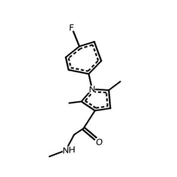 CNCC(=O)c1cc(C)n(-c2ccc(F)cc2)c1C